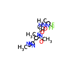 CC(=O)c1nn(CC(=O)C2C3CCC(CC3)[C@H]2C(=O)Nc2nc(C(F)(F)F)ccc2C)c2c(C)cc(-c3cnc4cc(C)nn4c3)cc12